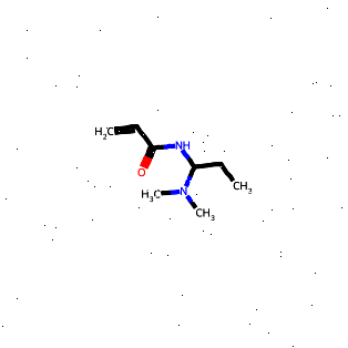 C=CC(=O)NC(CC)N(C)C